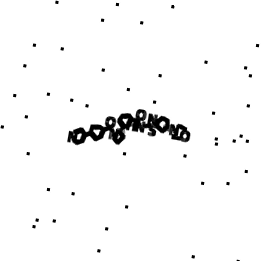 O=C(Nc1nc2c(s1)C[C@@H](N1CCOCC1)CC2)c1cccc([C@H]2CCCN2C(=O)c2ccc(-c3ccncc3)cc2)c1